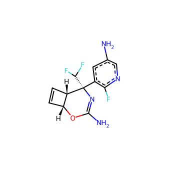 NC1=N[C@@](c2cc(N)cnc2F)(C(F)F)[C@H]2C=C[C@H]2O1